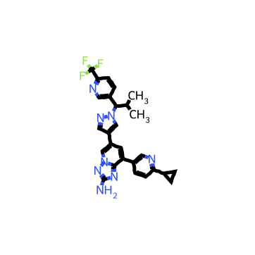 CC(C)C(c1ccc(C(F)(F)F)nc1)n1cc(-c2cc(-c3ccc(C4CC4)nc3)c3nc(N)nn3c2)cn1